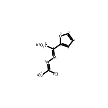 CCOC(=O)C(=NN=C(Cl)C(C)CC)c1ccco1